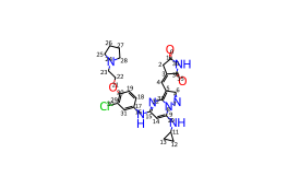 O=C1CC(=Cc2cnn3c(NC4CC4)cc(Nc4ccc(OCCN5CCCC5)c(Cl)c4)nc23)C(=O)N1